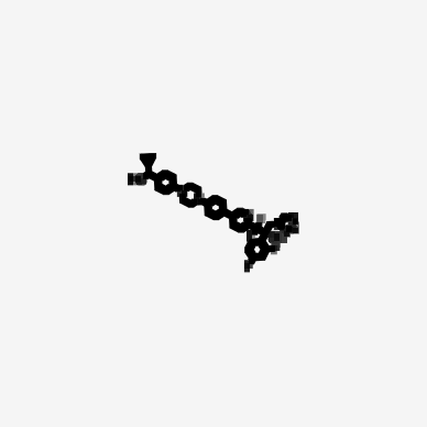 OC(c1ccc(N2CCN(c3ccc(-c4ccc(C(F)(F)[C@](O)(Cn5cnnn5)c5ccc(F)cc5F)nc4)cc3)CC2)cc1)C1CC1